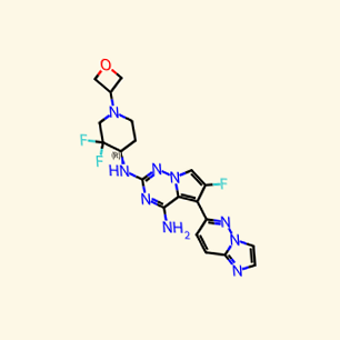 Nc1nc(N[C@@H]2CCN(C3COC3)CC2(F)F)nn2cc(F)c(-c3ccc4nccn4n3)c12